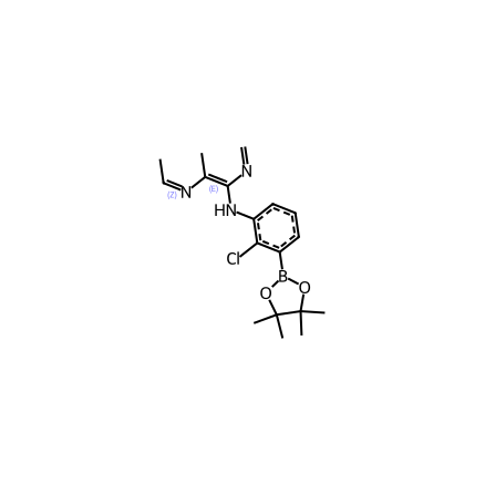 C=N/C(Nc1cccc(B2OC(C)(C)C(C)(C)O2)c1Cl)=C(C)/N=C\C